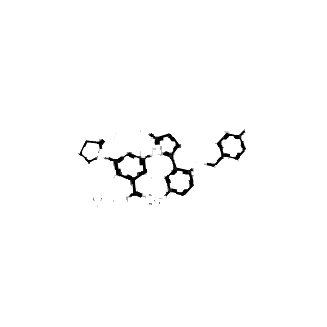 COC(=O)c1cc(N2CCCC2=O)cc(-n2c(C)ccc2-c2cc(Br)ccc2OCc2ccc(F)cc2)c1